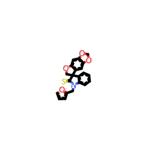 S=C1N(Cc2ccco2)c2ccccc2C12COc1cc3c(cc12)OCO3